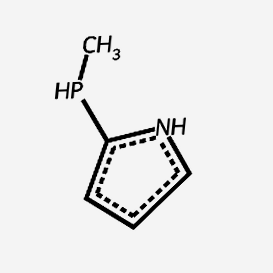 CPc1ccc[nH]1